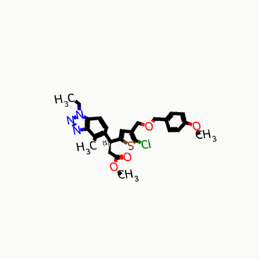 CCn1nnc2c(C)c([C@H](CC(=O)OC)c3cc(COCc4ccc(OC)cc4)c(Cl)s3)ccc21